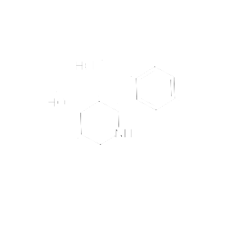 C[C@@H]1C[C@H](O)C[C@H](c2ccccc2)N1.Cl